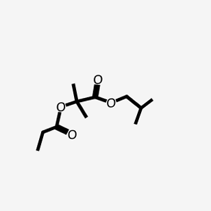 CCC(=O)OC(C)(C)C(=O)OCC(C)C